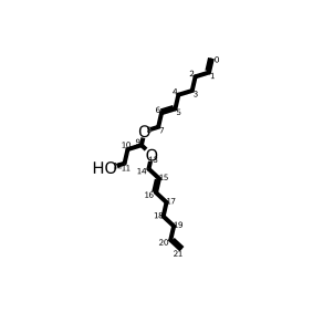 C=CCCCC=CCOC(CCO)OCC=CCCCC=C